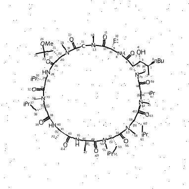 CCCC[C@@H](C)[C@@H](O)[C@H]1C(=O)N[C@@H](CC)C(=O)N(C)CC(=O)N(C)[C@@H](CC(C)(C)OC)C(=O)N[C@@H](C(C)C)C(=O)N(C)[C@@H](CC(C)C)C(=O)N[C@@H](C)C(=O)N[C@H](C)C(=O)N(C)[C@@H](CC(C)C)C(=O)N(C)[C@@H](CC(C)C)C(=O)N(C)[C@@H](C(C)C)C(=O)N1C